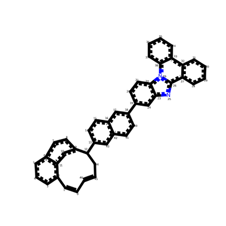 C1=C\c2cccc3ccc(cc23)C(c2ccc3cc(-c4ccc5c(c4)nc4c6ccccc6c6ccccc6n54)ccc3c2)C/C=C/1